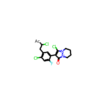 CC(=O)C(Cl)Cc1cc(-c2c(Cl)n3n(c2=O)CCCC3)c(F)cc1Cl